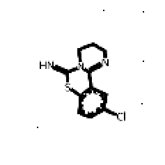 N=C1Sc2ccc(Cl)cc2C2=NCCCN12